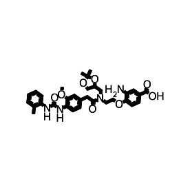 COc1cc(CC(=O)N(CCOc2ccc(C(=O)O)cc2N)CC2COC(C)(C)O2)ccc1NC(=O)Nc1ccccc1C